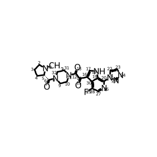 CN1CCC[C@H]1C(=O)N1CCN(C(=O)C(=O)c2c[nH]c3c(-n4ccnn4)ncc(F)c23)CC1